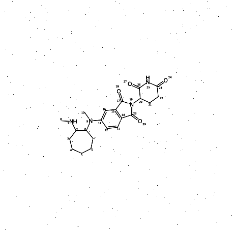 CNC1CCCCCC1N(C)c1ccc2c(c1)C(=O)N(C1CCC(=O)NC1=O)C2=O